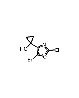 OC1(c2nc(Cl)oc2Br)CC1